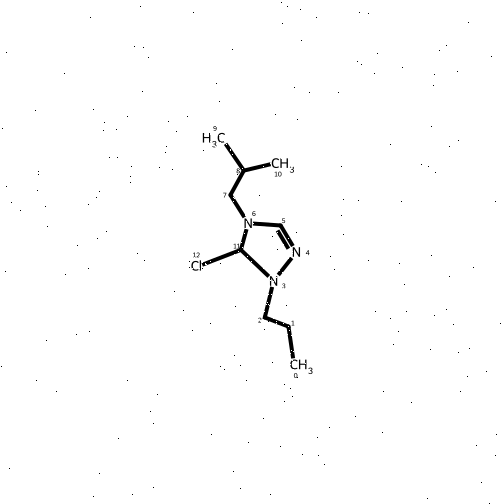 CCCN1N=CN(CC(C)C)C1Cl